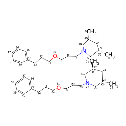 C[C@@H]1C[C@H](C)CN(CCCOCCCc2ccccc2)C1.C[C@H]1C[C@H](C)CN(CCCOCCCc2ccccc2)C1